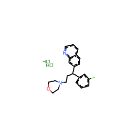 Cl.Cl.Fc1cccc(C(CCN2CCOCC2)c2ccc3cccnc3c2)c1